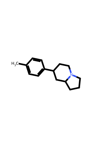 Cc1ccc(C2CCN3CCCC3C2)cc1